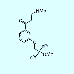 CCCC(CCC)(COc1cccc(C(=O)CCNC)c1)OC